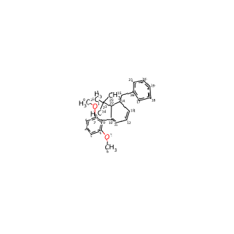 COc1cccc(OC)c1C1=CC=CC(Cc2ccccc2)C1C(C)(C)C